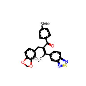 CSc1ccc(C(=O)C(Cc2ccc3c(c2)OCO3)=C(C(=O)O)c2ccc3nsnc3c2)cc1